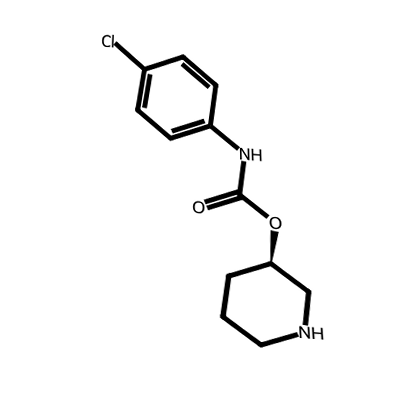 O=C(Nc1ccc(Cl)cc1)O[C@@H]1CCCNC1